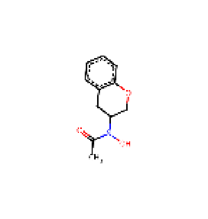 CC(=O)N(O)C1COc2ccccc2C1